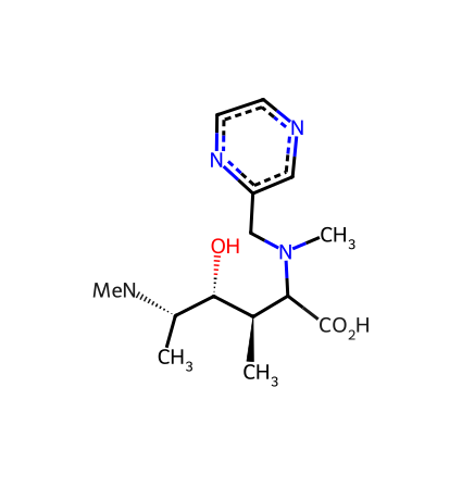 CN[C@@H](C)[C@H](O)[C@H](C)C(C(=O)O)N(C)Cc1cnccn1